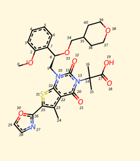 COc1ccccc1[C@H](Cn1c(=O)n(C(C)(C)C(=O)O)c(=O)c2c(C)c(-c3ncco3)sc21)OCC1CCOCC1